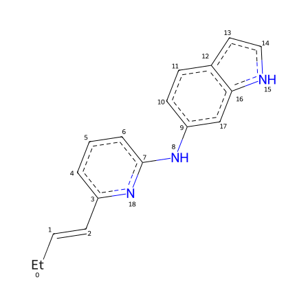 CCC=Cc1cccc(Nc2ccc3cc[nH]c3c2)n1